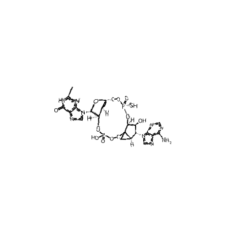 Cc1nc2c(ncn2[C@@H]2O[C@]34CO[P@](=O)(S)O[C@H]5[C@@H](O)[C@H](n6cnc7c(N)ncnc76)[C@H]6CC65COP(=O)(O)O[C@@H]2[C@@H]3C4)c(=O)[nH]1